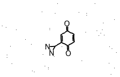 O=C1C=CC(=O)C(C2N=N2)=C1